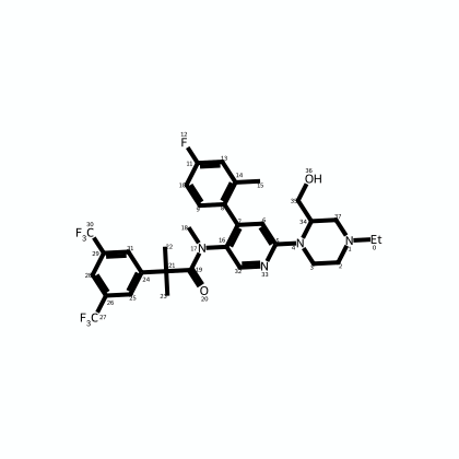 CCN1CCN(c2cc(-c3ccc(F)cc3C)c(N(C)C(=O)C(C)(C)c3cc(C(F)(F)F)cc(C(F)(F)F)c3)cn2)C(CO)C1